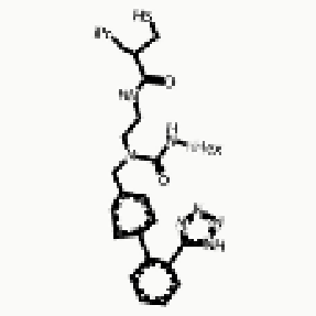 CCCCCCNC(=O)N(CCNC(=O)C(CS)CC(C)C)Cc1ccc(-c2ccccc2-c2nnn[nH]2)cc1